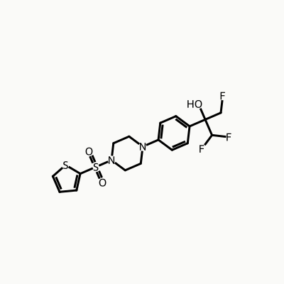 O=S(=O)(c1cccs1)N1CCN(c2ccc(C(O)(CF)C(F)F)cc2)CC1